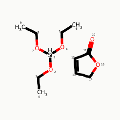 CCO[SiH](OCC)OCC.O=C1C=CCO1